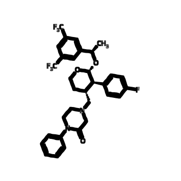 C[C@@H](O[C@H]1OCC[C@@H](CN2CCN(c3ccccc3)C(=O)C2)[C@@H]1c1ccc(F)cc1)c1cc(C(F)(F)F)cc(C(F)(F)F)c1